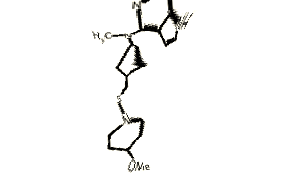 COC1CCN(SCC2CC(N(C)c3ncnc4[nH]ccc34)C2)CC1